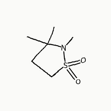 CN1C(C)(C)CCS1(=O)=O